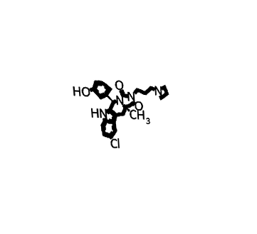 C[C@@]12Cc3c([nH]c4ccc(Cl)cc34)[C@@H](c3cccc(O)c3)N1C(=O)N(CCCN1CCC1)C2=O